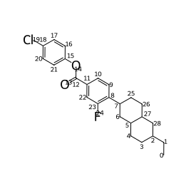 CCC1CCC2CC(c3ccc(C(=O)Oc4ccc(Cl)cc4)cc3F)CCC2C1